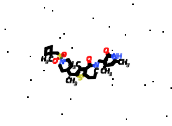 Cc1cc(C)c(CN2CCCc3sc([C@H](C)C4CCN(S(=O)(=O)CC5(C)CCC5)CC4)c(C)c3C2=O)c(=O)[nH]1